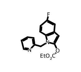 CCOC(=O)Oc1cc2cc(F)ccc2n1Cc1ccccn1